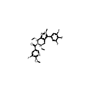 CC[C@H]1Cc2c(nn(C)c2-c2cc(F)c(F)c(F)c2)[C@@H](CC)N1C(=O)c1cnc(OC)c(F)c1